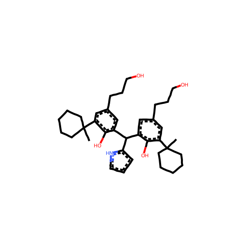 CC1(c2cc(CCCO)cc(C(c3ccc[nH]3)c3cc(CCCO)cc(C4(C)CCCCC4)c3O)c2O)CCCCC1